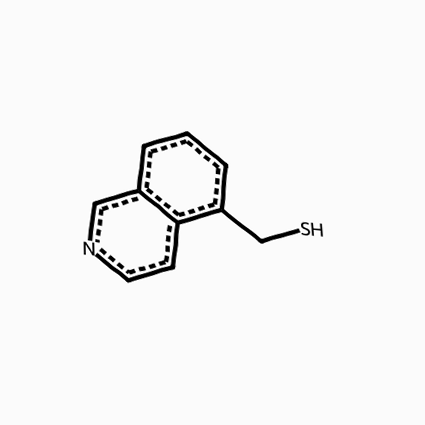 SCc1cccc2cnccc12